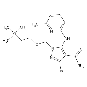 C[Si](C)(C)CCOCn1nc(Br)c(C(N)=O)c1Nc1cccc(C(F)(F)F)n1